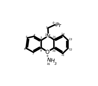 CC(C)CN1c2ccccc2Oc2ccccc21.N